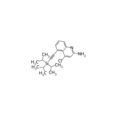 CC(C)[Si](C#Cc1cccc2nc(N)cc(Cl)c12)(C(C)C)C(C)C